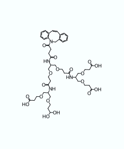 O=C(O)CCOCC(COCCC(=O)O)NC(=O)CCOCC(COCCC(=O)NC(COCCC(=O)O)COCCC(O)O)NC(=O)CCC(=O)N1Cc2ccccc2/C=C\c2ccccc21